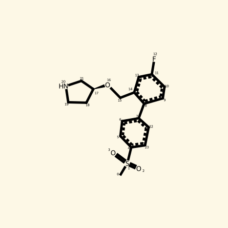 CS(=O)(=O)c1ccc(-c2ccc(F)cc2CO[C@H]2CCNC2)cc1